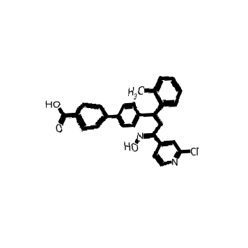 Cc1ccccc1C(CC(=NO)c1ccnc(Cl)c1)c1ccc(-c2ccc(C(=O)O)cc2)cc1